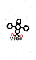 COC(=O)C1(C(=O)OC)CC2=C(c3ccccc3)C3C4CCC(C4)C3C(c3ccccc3)=C2C1